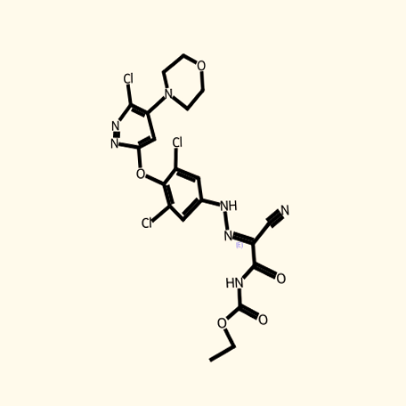 CCOC(=O)NC(=O)/C(C#N)=N/Nc1cc(Cl)c(Oc2cc(N3CCOCC3)c(Cl)nn2)c(Cl)c1